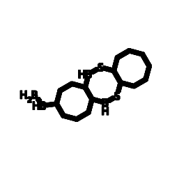 BBC1CCCC2BSC3CCCCCCC3SBC2CC1